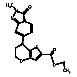 CCOC(=O)c1cc2c(s1)N(c1ccn3c(=O)n(C)nc3c1)CCO2